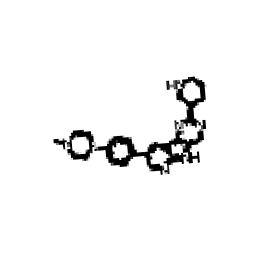 CN1CCN(c2ccc(-c3cnc4[nH]c5cnc(C6CCCNC6)nc5c4c3)cc2)CC1